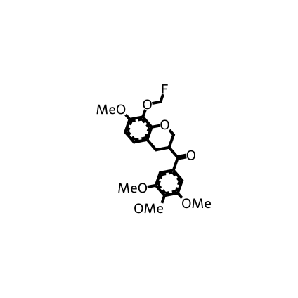 COc1cc(C(=O)C2COc3c(ccc(OC)c3OCF)C2)cc(OC)c1OC